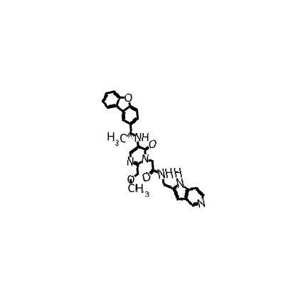 COCc1ncc(N[C@H](C)c2ccc3oc4ccccc4c3c2)c(=O)n1CC(=O)NCc1cc2cnccc2[nH]1